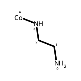 NCC[NH][Co]